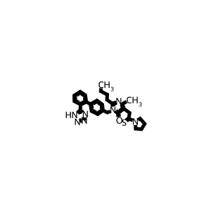 CCCCc1nc(C)c(CC(=S)N2CCCC2)c(=O)n1Cc1ccc(-c2ccccc2-c2nnn[nH]2)cc1